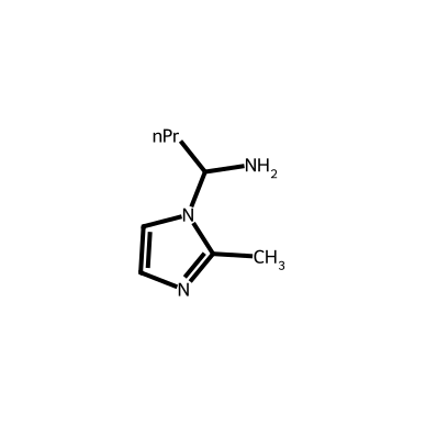 CCCC(N)n1ccnc1C